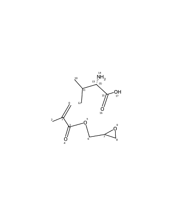 C=C(C)C(=O)OCC1CO1.CC(C)[C@H](N)C(=O)O